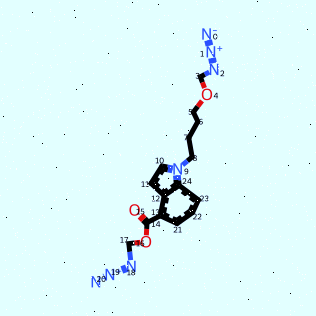 [N-]=[N+]=NCOCCCCn1ccc2c(C(=O)OCN=[N+]=[N-])cccc21